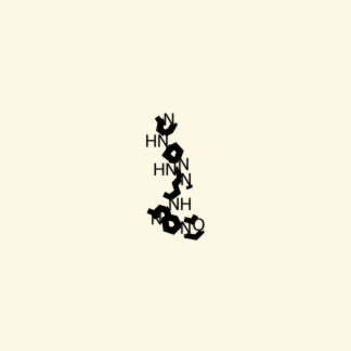 C=N/C(=C\C=C(/C)Nc1cc(C)nc2ccc(N3CCCOC3(C)C)cc12)c1nc2ccc(Nc3ccnc(C)c3)cc2[nH]1